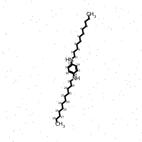 CCCCCCCCCCCCNc1ccc(NCCCCCCCCCCCC)cc1